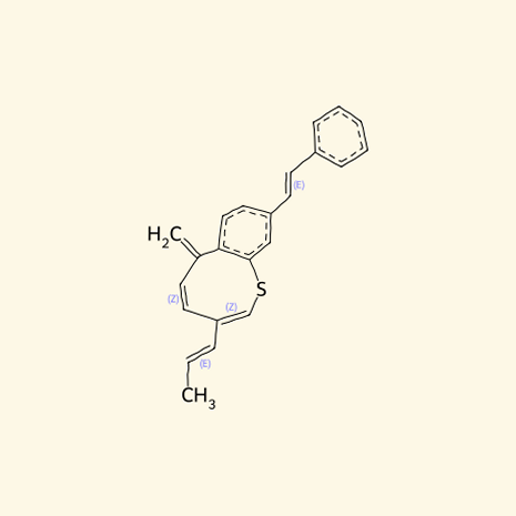 C=C1\C=C/C(/C=C/C)=C\Sc2cc(/C=C/c3ccccc3)ccc21